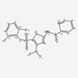 O=C(Nc1nc(C(F)F)c(S(=O)(=O)Cc2c(F)cccc2F)s1)c1ccccn1